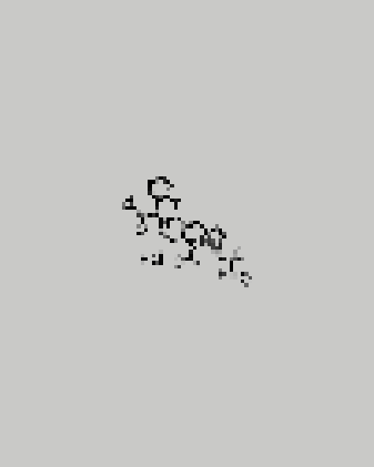 CONC(=O)Cn1ccc(C=C2CN(C(C(=O)C3CC3)c3ccccc3F)CCC2SC(C)=O)n1.Cl